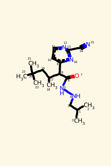 CC(C)CNNC(=O)C(c1ccnc(C#N)n1)C(C)CC(C)(C)C